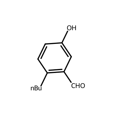 CCCCc1ccc(O)cc1C=O